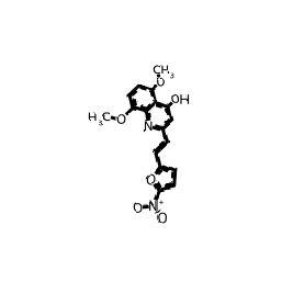 COc1ccc(OC)c2c(O)cc(C=Cc3ccc([N+](=O)[O-])o3)nc12